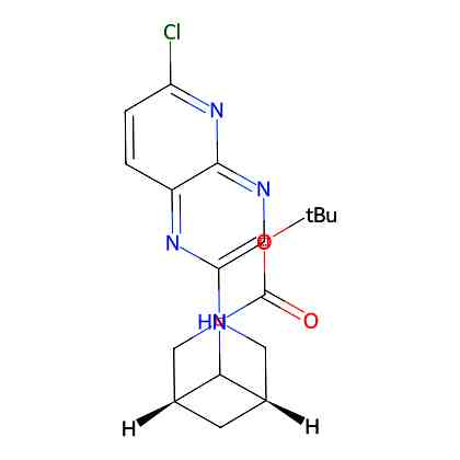 CC(C)(C)OC(=O)NC1[C@@H]2C[C@H]1CN(c1cnc3nc(Cl)ccc3n1)C2